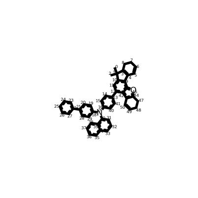 CC1(C)C2=C(C=CCC2)c2c1cc(-c1ccc(N(c3ccc(-c4ccccc4)cc3)c3cccc4ccccc34)cc1)c1c3c(oc21)CCC=C3